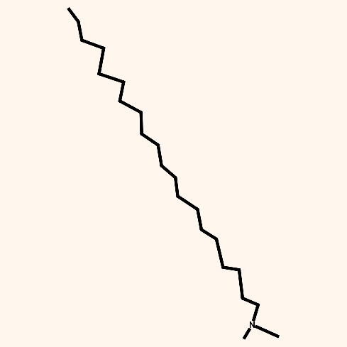 CCCCCCCCCCCCCCCCCCCCN(C)C